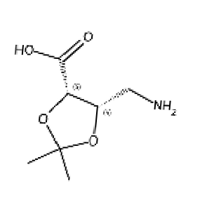 CC1(C)O[C@@H](CN)[C@@H](C(=O)O)O1